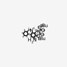 CN(Cc1ccccc1)c1ccc(N)cc1CN(C(=O)OC(C)(C)C)C(=O)OC(C)(C)C